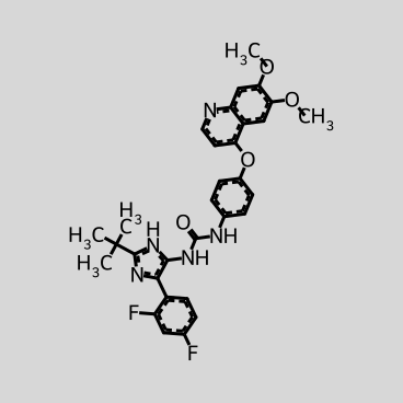 COc1cc2nccc(Oc3ccc(NC(=O)Nc4[nH]c(C(C)(C)C)nc4-c4ccc(F)cc4F)cc3)c2cc1OC